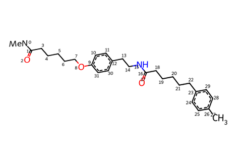 CNC(=O)CCCCCOc1ccc(CCNC(=O)CCCCCc2ccc(C)cc2)cc1